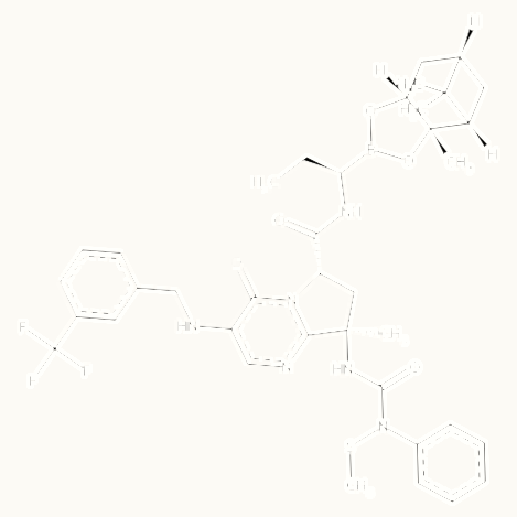 CC[C@H](NC(=O)[C@@H]1C[C@@](C)(NC(=O)N(SC)c2ccccc2)c2ncc(NCc3cccc(C(F)(F)F)c3)c(=O)n21)B1O[C@@H]2C[C@@H]3C[C@@H](C3(C)C)[C@]2(C)O1